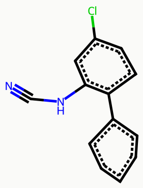 N#CNc1cc(Cl)ccc1-c1ccccc1